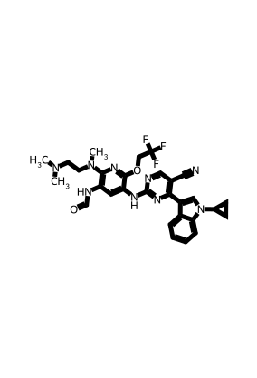 CN(C)CCN(C)c1nc(OCC(F)(F)F)c(Nc2ncc(C#N)c(-c3cn(C4CC4)c4ccccc34)n2)cc1NC=O